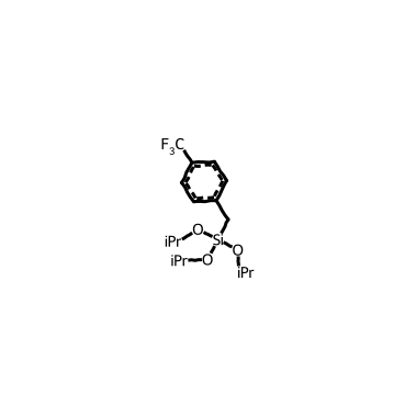 CC(C)O[Si](Cc1ccc(C(F)(F)F)cc1)(OC(C)C)OC(C)C